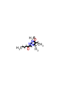 CCCCC(=O)c1cn2c(C)c(CC)c(OC)nc2n1